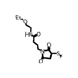 CCOCCNC(=O)CCCN1C(=O)CC(SF)C1=O